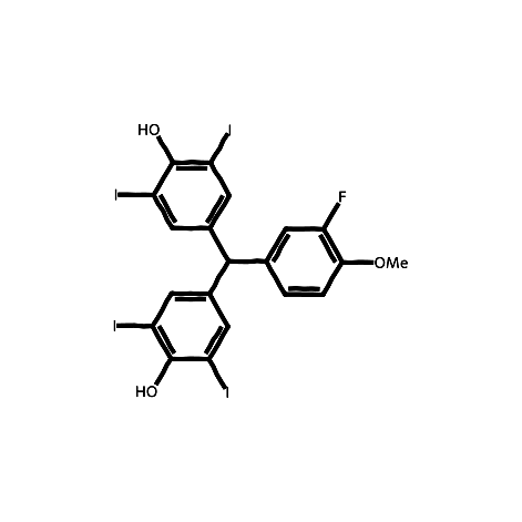 COc1ccc(C(c2cc(I)c(O)c(I)c2)c2cc(I)c(O)c(I)c2)cc1F